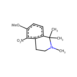 COc1ccc2c(c1[N+](=O)[O-])CCN(C)C2(C)C